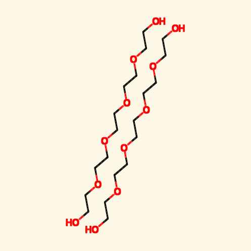 OCCOCCOCCOCCOCCO.OCCOCCOCCOCCOCCO